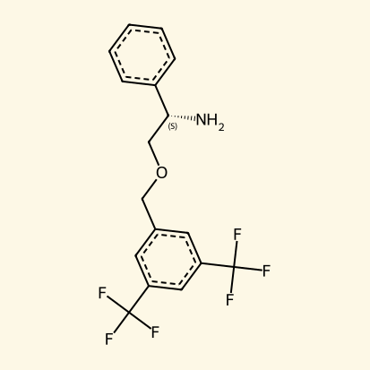 N[C@H](COCc1cc(C(F)(F)F)cc(C(F)(F)F)c1)c1ccccc1